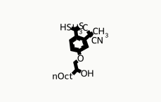 CCCCCCCCC(O)COc1ccc(C(=S)S)c(C(C)(C)C#N)c1